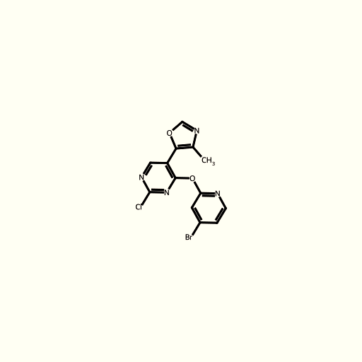 Cc1ncoc1-c1cnc(Cl)nc1Oc1cc(Br)ccn1